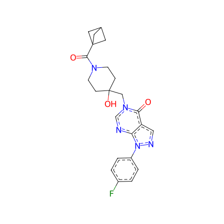 O=C(N1CCC(O)(Cn2cnc3c(cnn3-c3ccc(F)cc3)c2=O)CC1)C12CC(C1)C2